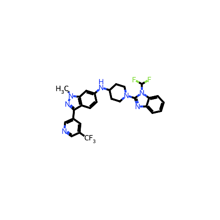 Cn1nc(-c2cncc(C(F)(F)F)c2)c2ccc(NC3CCN(c4nc5ccccc5n4C(F)F)CC3)cc21